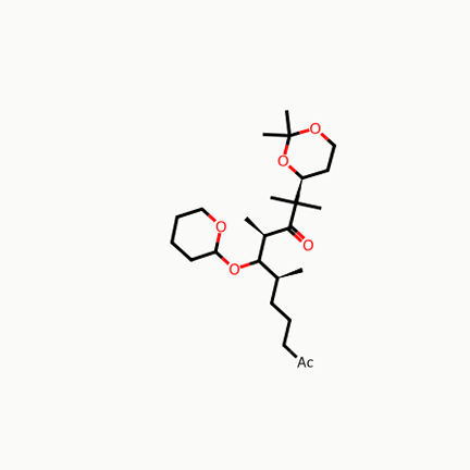 CC(=O)CCC[C@H](C)C(OC1CCCCO1)[C@@H](C)C(=O)C(C)(C)[C@@H]1CCOC(C)(C)O1